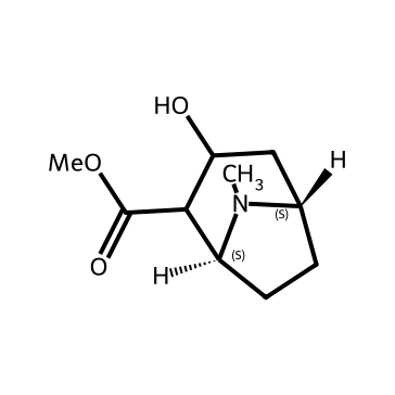 COC(=O)C1C(O)C[C@@H]2CC[C@@H]1N2C